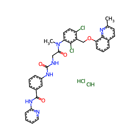 Cc1ccc2cccc(OCc3c(Cl)ccc(N(C)C(=O)CNC(=O)Nc4cccc(C(=O)Nc5ccccn5)c4)c3Cl)c2n1.Cl.Cl